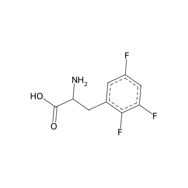 NC(Cc1cc(F)cc(F)c1F)C(=O)O